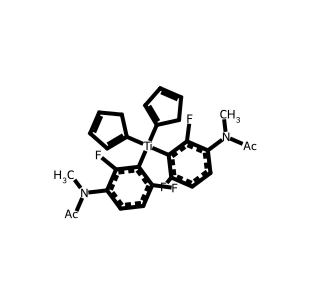 CC(=O)N(C)c1ccc(F)[c]([Ti]([C]2=CC=CC2)([C]2=CC=CC2)[c]2c(F)ccc(N(C)C(C)=O)c2F)c1F